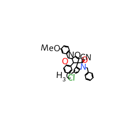 COc1cccc(C2Oc3ccc(Cl)cc3C3C4(C(=O)N(Cc5ccccc5)c5ccc(C)cc54)C(C#N)=CC23[N+](=O)[O-])c1